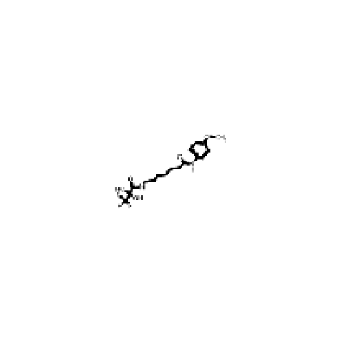 COc1ccc(NC(=O)CCCCCCNC(=O)C(O)(O)C(F)(F)F)cc1